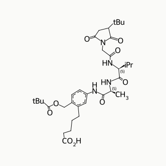 CC(C)[C@H](NC(=O)CN1C(=O)CC(C(C)(C)C)C1=O)C(=O)N[C@@H](C)C(=O)Nc1ccc(COC(=O)C(C)(C)C)c(CCCCC(=O)O)c1